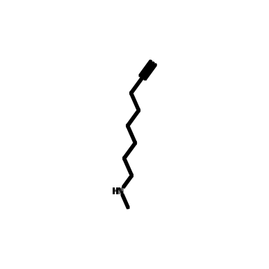 C#CCCCCCCNC